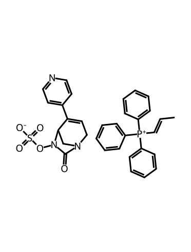 CC=C[P+](c1ccccc1)(c1ccccc1)c1ccccc1.O=C1N2CC=C(c3ccncc3)C(C2)N1OS(=O)(=O)[O-]